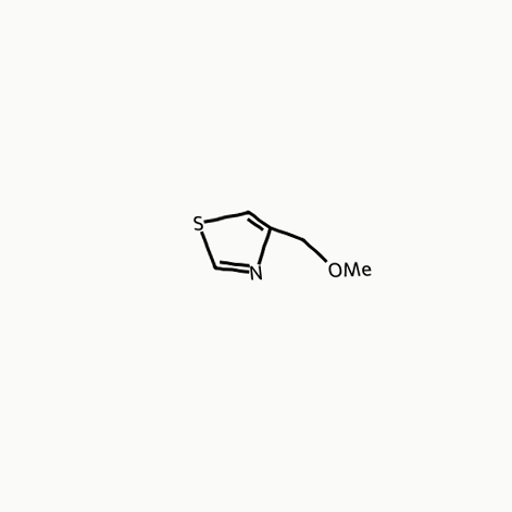 COCc1cscn1